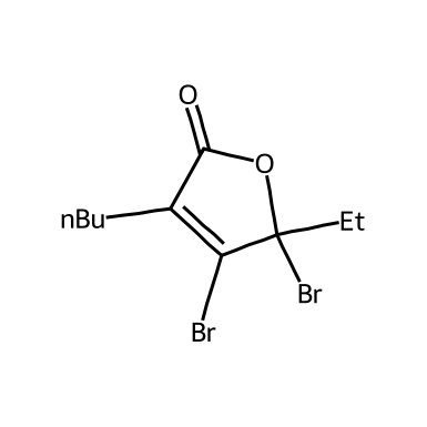 CCCCC1=C(Br)C(Br)(CC)OC1=O